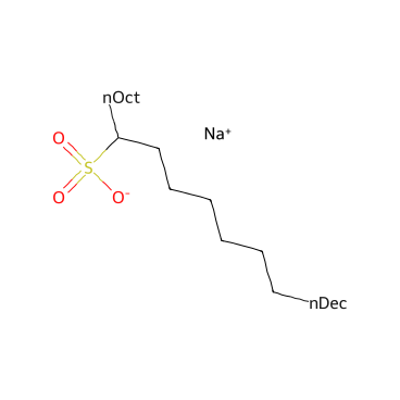 CCCCCCCCCCCCCCCCC(CCCCCCCC)S(=O)(=O)[O-].[Na+]